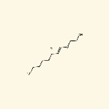 CCCCCCC=COCCO.[Ti]